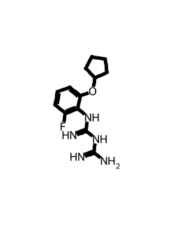 N=C(N)NC(=N)Nc1c(F)cccc1OC1CCCC1